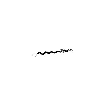 CCCCCCCCPPCC